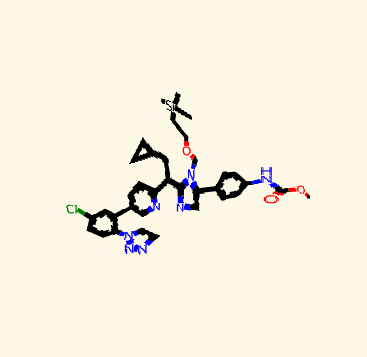 COC(=O)Nc1ccc(-c2cnc(C(CC3CC3)c3ccc(-c4cc(Cl)ccc4-n4ccnn4)cn3)n2COCC[Si](C)(C)C)cc1